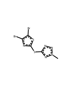 Cn1nnc(Sc2nc(Br)c(Br)s2)n1